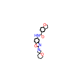 O=C(Nc1ccc2oc(N3CC4(CCCCO4)C3)nc2c1)c1ccc2c(c1)CCO2